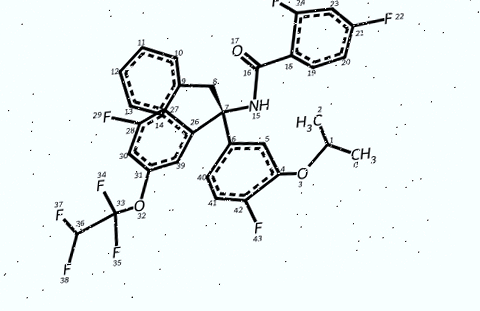 CC(C)Oc1cc([C@@](Cc2ccccc2)(NC(=O)c2ccc(F)cc2F)c2cc(F)cc(OC(F)(F)C(F)F)c2)ccc1F